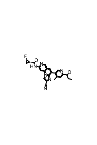 CCC(=O)c1cc(C)c(-c2cc3cnc(NC(=O)[C@H]4C[C@H]4F)cc3n3cc(C#N)nc23)cn1